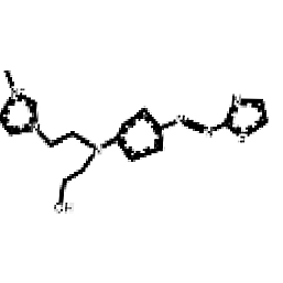 C[n+]1ccn(CCN(CCO)c2ccc(/N=N/c3nccs3)cc2)c1